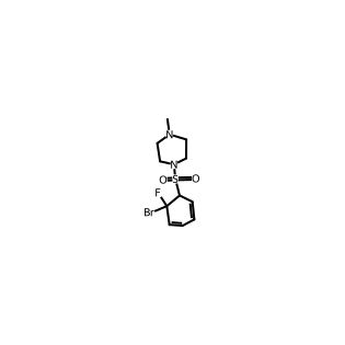 CN1CCN(S(=O)(=O)C2C=CC=CC2(F)Br)CC1